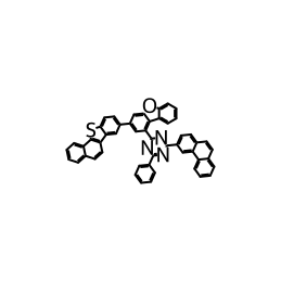 c1ccc(-c2nc(-c3ccc4ccc5ccccc5c4c3)nc(-c3cc(-c4ccc5sc6c7ccccc7ccc6c5c4)cc4oc5ccccc5c34)n2)cc1